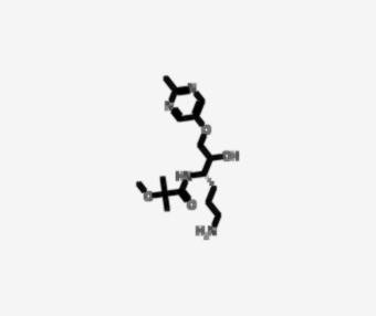 COC(C)(C)C(=O)N[C@@H](CCCN)C(O)COc1cnc(C)nc1